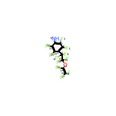 Nc1c(F)c(F)c(C(F)(F)C(F)(F)OC(F)=C(F)F)c(F)c1F